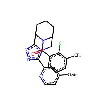 COc1ccnc(-c2nnc3n2CC2CCCC3N2C(=O)c2cccc(C(F)(F)F)c2Cl)c1